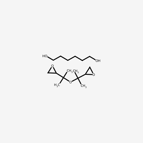 CC(C)(OC(C)(C)C1CO1)C1CO1.OCCCCCCO